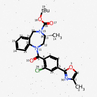 Cc1coc(-c2ccc(C(=O)N3C[C@@H](C)N(C(=O)OC(C)(C)C)Cc4ccccc43)c(Cl)c2)n1